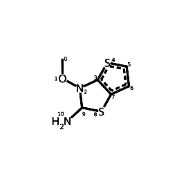 CON1c2sccc2SC1N